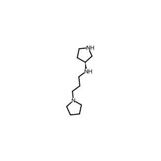 C1CCN(CCCN[C@H]2CCNC2)C1